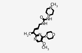 C=C(/C=C/CNC(=O)NN1CCN(C)CC1)c1ncc(OC)c(N2CCOCC2)n1